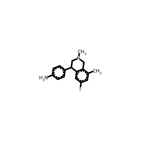 Cc1cc(I)cc2c1CN(C)CC2c1ccc(N)cc1